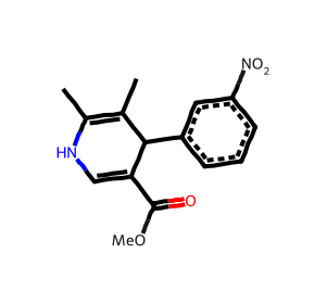 COC(=O)C1=CNC(C)=C(C)C1c1cccc([N+](=O)[O-])c1